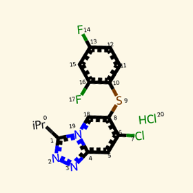 CC(C)c1nnc2cc(Cl)c(Sc3ccc(F)cc3F)cn12.Cl